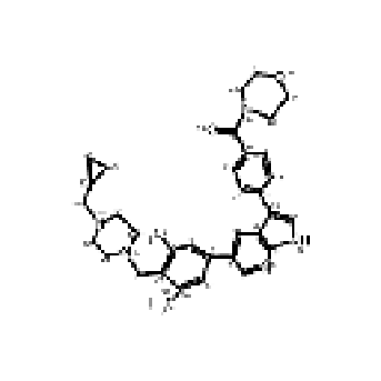 Cc1cc(-c2cnc3[nH]cc(-c4ccc(C(=O)N5CCOCC5)cc4)c3c2)cc(C)c1CN1CCN(CC2CC2)CC1